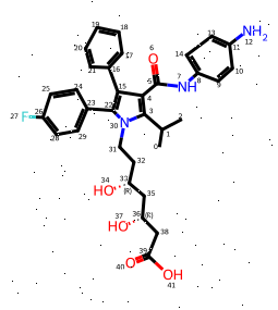 CC(C)c1c(C(=O)Nc2ccc(N)cc2)c(-c2ccccc2)c(-c2ccc(F)cc2)n1CC[C@@H](O)C[C@@H](O)CC(=O)O